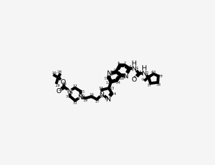 CC1(NC(=O)Nc2ccc3ncc(C4C=NN(CCCN5CCN(C(=O)OC(C)(C)C)CC5)C4)cc3n2)CCCC1